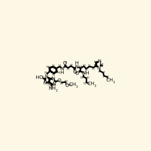 CCCCCn1nncc1CCCCC(NC(=O)CCC(=O)NCc1ccc(Cn2c(O)nc3c(N)nc(OCCOC)nc32)cc1)C(=O)NCCCC